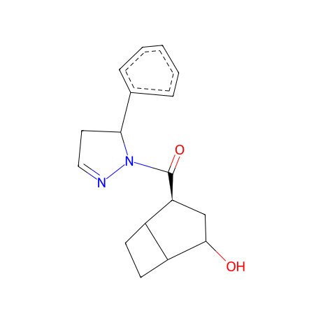 O=C([C@H]1CC(O)C2CCC21)N1N=CCC1c1ccccc1